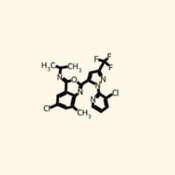 Cc1cc(Cl)cc2/c(=N/C(C)C)oc(-c3cc(C(F)(F)F)nn3-c3ncccc3Cl)nc12